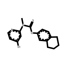 CCc1ccnc(N(C)C(=S)Oc2ccc3c(c2)CCCC3)c1